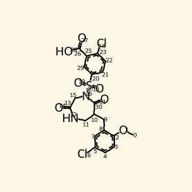 COc1ccc(Cl)cc1CC1CNC(=O)CN(S(=O)(=O)c2ccc(Cl)c(C(=O)O)c2)C1=O